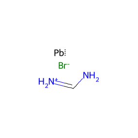 NC=[NH2+].[Br-].[Pb]